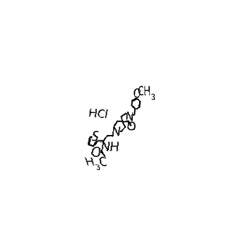 CCC(=O)NC(CCN1CCC2(CC1)CCN(Cc1ccc(OC)cc1)C2=O)c1cccs1.Cl